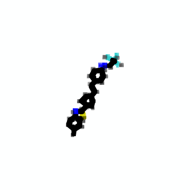 Cc1ccc2nc(-c3ccc(/C=C/c4ccc(NCC(F)(F)F)cc4)cc3)sc2c1